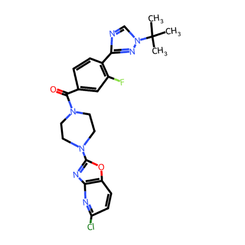 CC(C)(C)n1cnc(-c2ccc(C(=O)N3CCN(c4nc5nc(Cl)ccc5o4)CC3)cc2F)n1